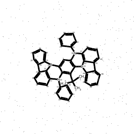 CC(C)(C)c1c2c(cc3c1N(c1ccccc1)c1cccc4c1B3c1ccccc1-4)N(c1ccccc1)c1cccc3c1B2c1ccccc1-3